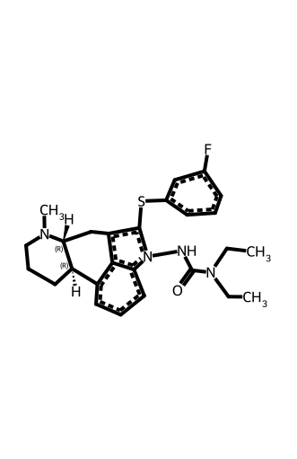 CCN(CC)C(=O)Nn1c(Sc2cccc(F)c2)c2c3c(cccc31)[C@H]1CCCN(C)[C@@H]1C2